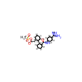 CS(=O)(=O)OC(=O)Cc1ccccc1-c1ccccc1C(=O)Nc1ccc(C(=N)N)cc1